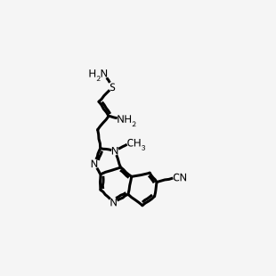 Cn1c(C/C(N)=C/SN)nc2cnc3ccc(C#N)cc3c21